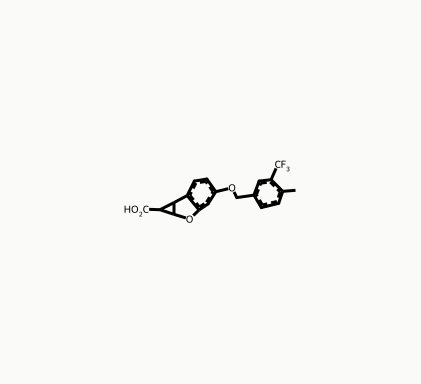 Cc1ccc(COc2ccc3c(c2)OC2C(C(=O)O)C32)cc1C(F)(F)F